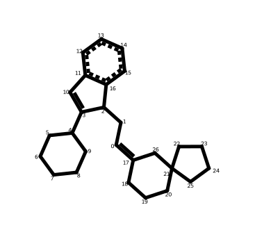 C(CC1C(C2CCCCC2)=Cc2ccccc21)=C1CCCC2(CCCC2)C1